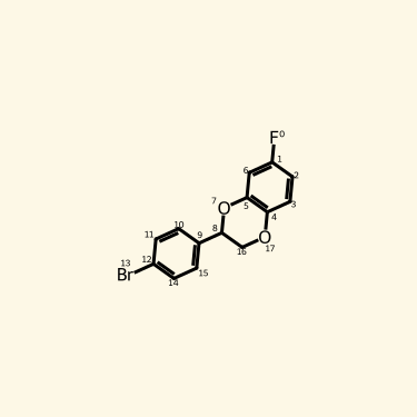 Fc1ccc2c(c1)OC(c1ccc(Br)cc1)CO2